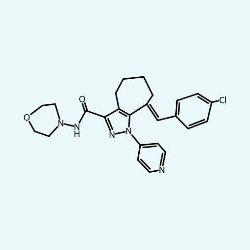 O=C(NN1CCOCC1)c1nn(-c2ccncc2)c2c1CCCCC2=Cc1ccc(Cl)cc1